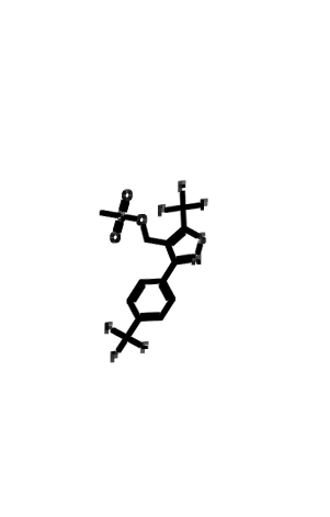 CS(=O)(=O)OCc1c(-c2ccc(C(F)(F)F)cc2)nsc1C(F)(F)F